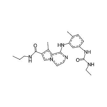 CCCNC(=O)c1cn2ccnc(Nc3cc(NC(=O)NCC)ccc3C)c2c1C